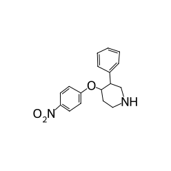 O=[N+]([O-])c1ccc(OC2CCNCC2c2ccccc2)cc1